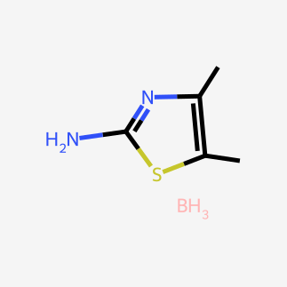 B.Cc1nc(N)sc1C